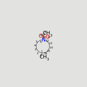 CC1CCCCCN(S(C)(=O)=O)CCCCC1